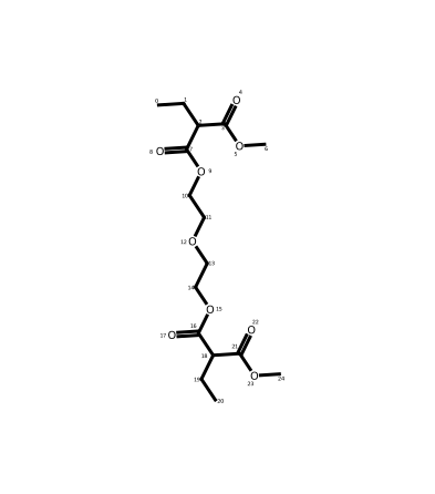 CCC(C(=O)OC)C(=O)OCCOCCOC(=O)C(CC)C(=O)OC